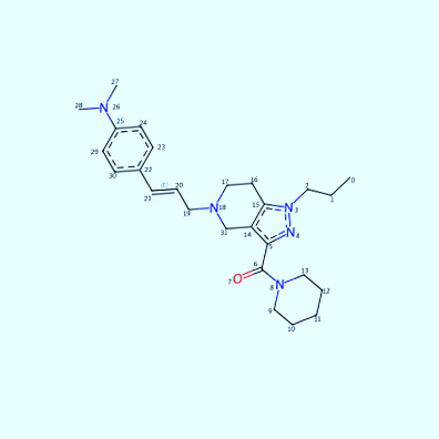 CCCn1nc(C(=O)N2CCCCC2)c2c1CCN(C/C=C/c1ccc(N(C)C)cc1)C2